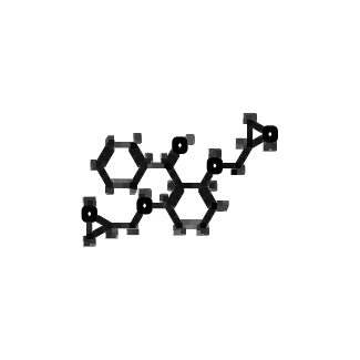 O=C(c1ccccc1)c1c(OCC2CO2)cccc1OCC1CO1